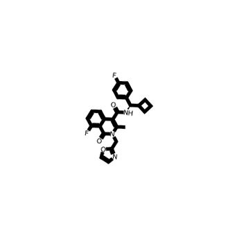 Cc1c(C(=O)N[C@H](c2ccc(F)cc2)C2CCC2)c2cccc(F)c2c(=O)n1Cc1ncco1